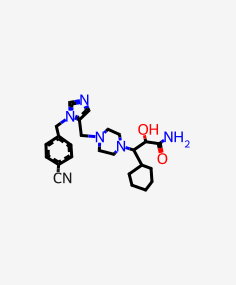 N#Cc1ccc(Cn2cncc2CN2CCN(C(C3CCCCC3)C(O)C(N)=O)CC2)cc1